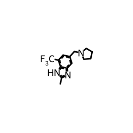 Cc1nc2cc(CN3CCCC3)cc(C(F)(F)F)c2[nH]1